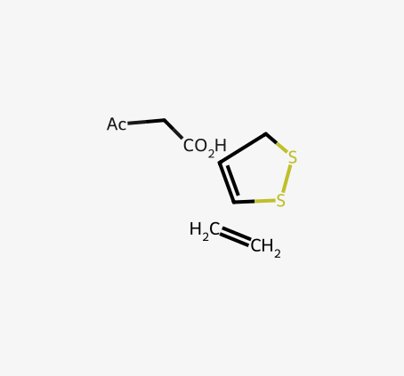 C1=CSSC1.C=C.CC(=O)CC(=O)O